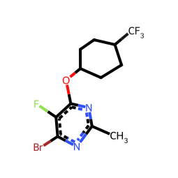 Cc1nc(Br)c(F)c(OC2CCC(C(F)(F)F)CC2)n1